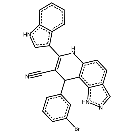 N#CC1=C(c2c[nH]c3ccccc23)Nc2ccc3cn[nH]c3c2C1c1cccc(Br)c1